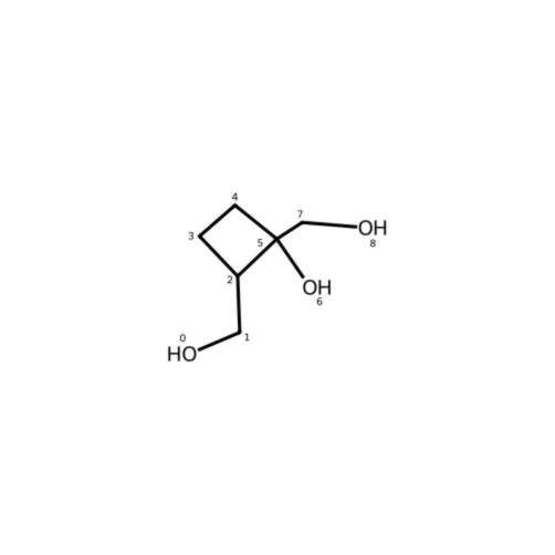 OCC1CCC1(O)CO